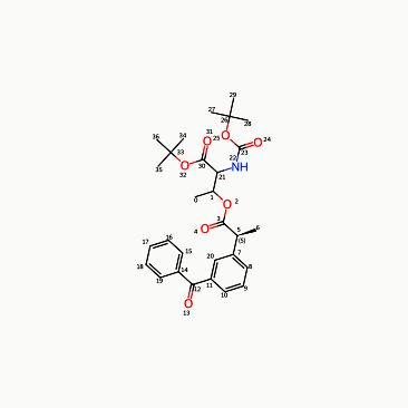 CC(OC(=O)[C@@H](C)c1cccc(C(=O)c2ccccc2)c1)C(NC(=O)OC(C)(C)C)C(=O)OC(C)(C)C